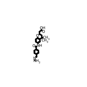 CC1(C)CC(CC(=O)O)Oc2ccc(NC(=O)c3ccc(C=NN)cc3)cc21